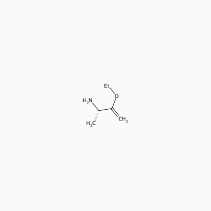 C=C(OCC)[C@H](C)N